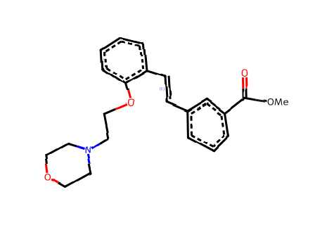 COC(=O)c1cccc(/C=C/c2ccccc2OCCN2CCOCC2)c1